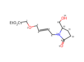 CCOC(=O)COCC=CCN1C(=O)CCC1CO